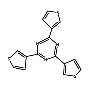 c1cc(-c2nc(-c3ccsc3)nc(-c3ccsc3)n2)cs1